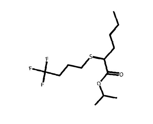 CCCCC(SCCCC(F)(F)F)C(=O)OC(C)C